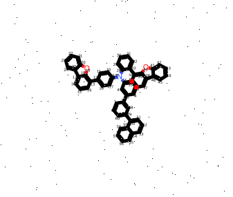 c1cc(-c2cccc(N(c3ccc(-c4cccc5c4oc4ccccc45)cc3)c3ccccc3-c3cccc4c3oc3ccccc34)c2)cc(-c2cccc3ccccc23)c1